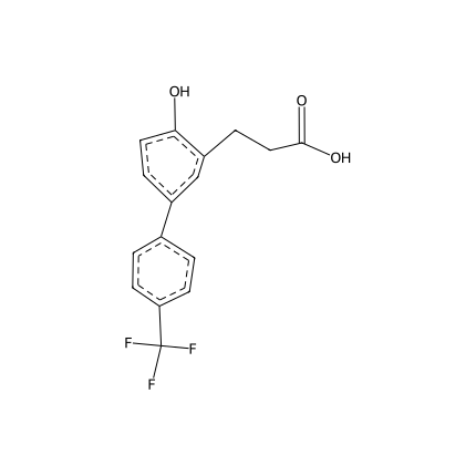 O=C(O)CCc1cc(-c2ccc(C(F)(F)F)cc2)ccc1O